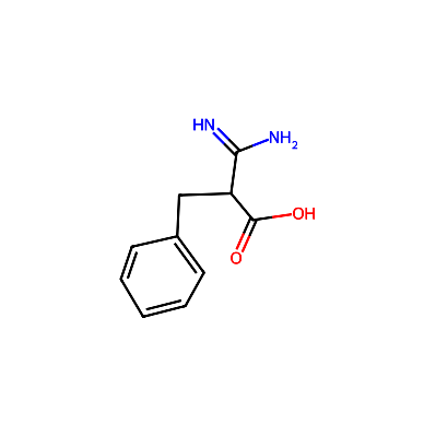 N=C(N)C(Cc1ccccc1)C(=O)O